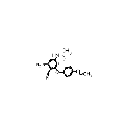 CCOc1ccc(Oc2nc(NC(C)=O)cc(N)c2C#N)cc1